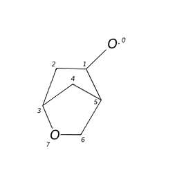 [O]C1CC2CC1CO2